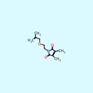 C=C(C)COCCN1C(=O)C(C)=C(C)C1=O